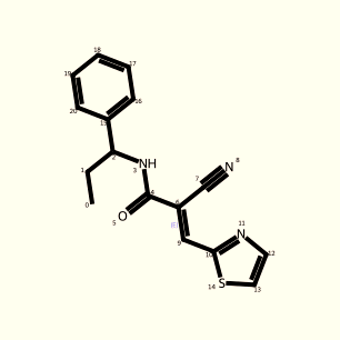 CCC(NC(=O)/C(C#N)=C/c1nccs1)c1ccccc1